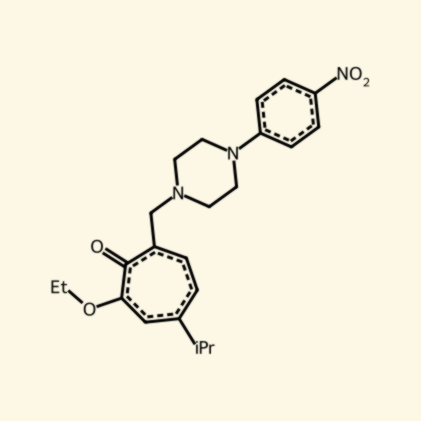 CCOc1cc(C(C)C)ccc(CN2CCN(c3ccc([N+](=O)[O-])cc3)CC2)c1=O